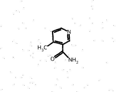 Cc1[c]cncc1C(N)=O